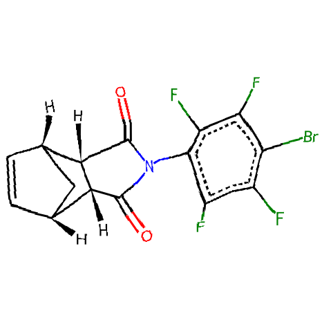 O=C1[C@@H]2[C@H](C(=O)N1c1c(F)c(F)c(Br)c(F)c1F)[C@@H]1C=C[C@H]2C1